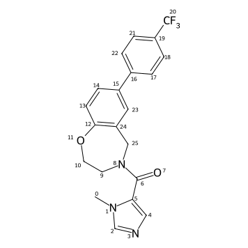 Cn1cncc1C(=O)N1CCOc2ccc(-c3ccc(C(F)(F)F)cc3)cc2C1